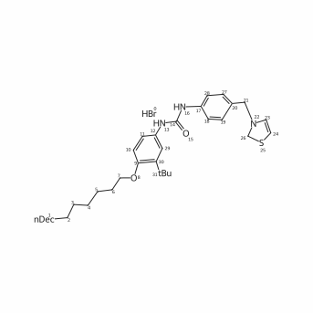 Br.CCCCCCCCCCCCCCCCOc1ccc(NC(=O)Nc2ccc(CN3C=CSC3)cc2)cc1C(C)(C)C